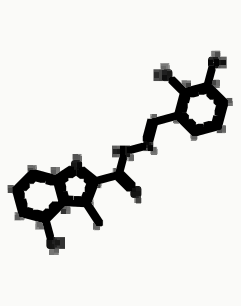 Cc1c(C(=O)N/N=C/c2cccc(O)c2O)oc2cccc(O)c12